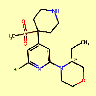 CC[C@H]1COCCN1c1cc(C2(S(C)(=O)=O)CCNCC2)cc(Br)n1